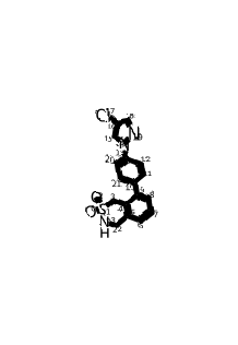 O=S1(=O)Cc2c(cccc2-c2ccc(-n3cc(Cl)cn3)cc2)CN1